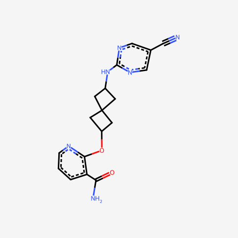 N#Cc1cnc(NC2CC3(C2)CC(Oc2ncccc2C(N)=O)C3)nc1